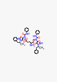 CC(Cc1ccccc1)N1NOC(NC(=O)Nc2ccccc2)=C1OC(=O)CC[C@H](N)C(=O)OC1=C(NC(=O)Nc2ccccc2)ONN1C(C)Cc1ccccc1